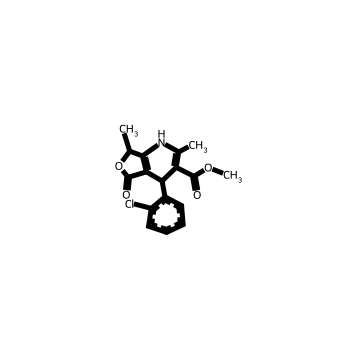 COC(=O)C1=C(C)NC2=C(C(=O)OC2C)C1c1ccccc1Cl